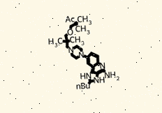 CCCCC1Nc2c(N)nc3ccc(N4CCN(CC(C)(C)COCC(C)(C)C(C)=O)CC4)cc3c2N1